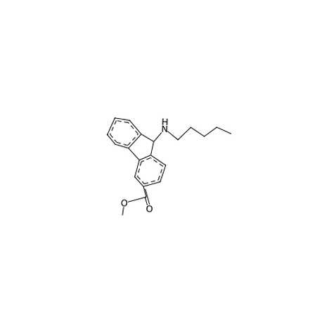 CCCCCNC1c2ccccc2-c2cc(C(=O)OC)ccc21